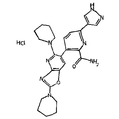 Cl.NC(=O)c1nc(-c2cn[nH]c2)ccc1-c1cc2oc(N3CCCCC3)nc2nc1N1CCCCC1